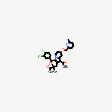 COC(=O)C(C)(C)Cc1c(C(=O)C(C)(C)C)c2cc(OCc3cccc(C)n3)ccn2c1C(=O)c1ccc(F)c(Cl)c1